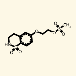 CS(=O)(=O)OCCOc1ccc2c(c1)CCNS2(=O)=O